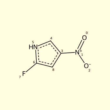 O=[N+]([O-])c1c[nH]c(F)c1